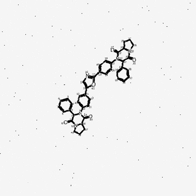 O=C1C(c2ccccc2)N(c2ccc(-c3cnc(-c4ccc(N5C(=O)C6CCCN6C(=O)C5c5ccccc5)cc4)o3)cc2)C(=O)C2CCCN12